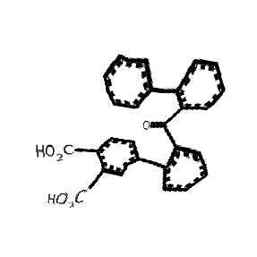 O=C(O)c1ccc(-c2ccccc2C(=O)c2ccccc2-c2ccccc2)cc1C(=O)O